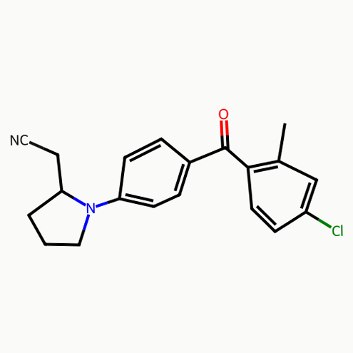 Cc1cc(Cl)ccc1C(=O)c1ccc(N2CCCC2CC#N)cc1